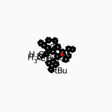 CC(C)(C)c1cccc(-c2cccc3c2-c2ccccc2N(c2cc4oc5c(N6c7ccccc7C=CC6c6cccc7ccccc67)ccc6c7ccc(-c8cccc(-c9cccc(-c%10c%11ccccc%11cc%11ccccc%10%11)c9)c8)c8oc9cc(-c%10ccc([Si](C)(C)C)nc%10)cc(c(c2)c4c56)c9c87)C3)c1